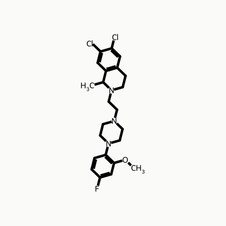 COc1cc(F)ccc1N1CCN(CCN2CCc3cc(Cl)c(Cl)cc3C2C)CC1